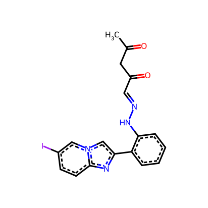 CC(=O)CC(=O)C=NNc1ccccc1-c1cn2cc(I)ccc2n1